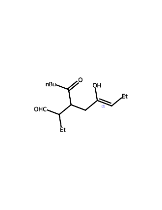 CC/C=C(\O)CC(C(=O)CCCC)C(C=O)CC